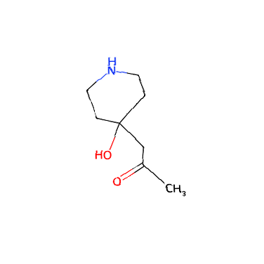 CC(=O)CC1(O)CCNCC1